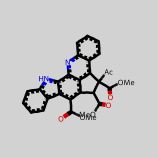 COC(=O)c1c2c3c(c4ccccc4nc3c3[nH]c4ccccc4c13)C(C(C)=O)(C(=O)OC)C2C(=O)OC